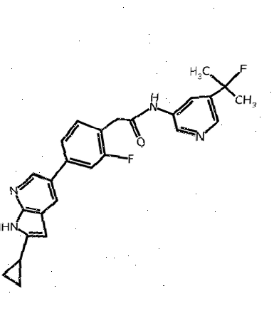 CC(C)(F)c1cncc(NC(=O)Cc2ccc(-c3cnc4[nH]c(C5CC5)cc4c3)cc2F)c1